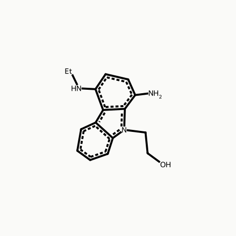 CCNc1ccc(N)c2c1c1ccccc1n2CCO